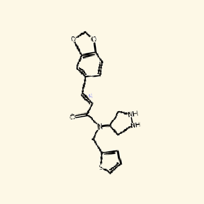 O=C(/C=C/c1ccc2c(c1)OCO2)N(Cc1cccs1)C1CNNC1